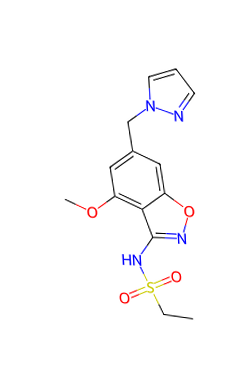 CCS(=O)(=O)Nc1noc2cc(Cn3cccn3)cc(OC)c12